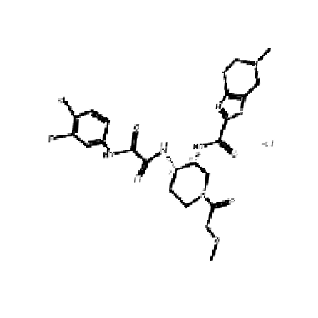 COCC(=O)N1CC[C@H](NC(=O)C(=O)Nc2ccc(Cl)c(F)c2)[C@H](NC(=O)c2nc3c(s2)CN(C)CC3)C1.Cl